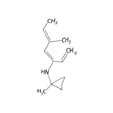 C=C/C(=C\C(C)=C\C)NC1(C)CC1